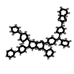 c1ccc(-c2ccc(-c3cc4nc(-c5ccccc5)c(-c5ccc(N(c6ccccc6)c6ccc(-c7nc8ccccc8o7)cc6)cc5)nc4cc3-c3ccc(-c4ccccc4)cc3)cc2)cc1